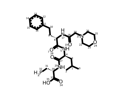 CC(C)C[C@H](NC(=O)[C@H](CCc1ccccc1)NC(=O)CN1CCOCC1)C(=O)N[C@@H](CP)C(=O)O